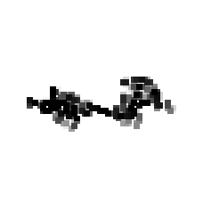 CCc1cc2c(cc1N1CCC(CCCCN3C[C@H](NC(=O)[C@H](CCCn4ccnc4N)NC(=O)OC(C)(C)C)C(C)(C)C3)CC1)C(C)(C)c1[nH]c3cc(C#N)ccc3c1C2=O